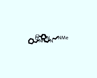 CNCCCN(C)c1ccc2c(NC(=O)CC3CCCCC3)c(Cl)ccc2n1